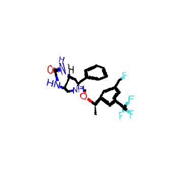 C[C@@H](OC[C@@]1(c2ccccc2)C[C@H]2NC(=O)NC2CN1)c1cc(CF)cc(C(F)(F)F)c1